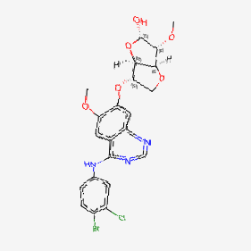 COc1cc2c(Nc3ccc(Br)c(Cl)c3)ncnc2cc1O[C@H]1CO[C@@H]2[C@@H](OC)[C@@H](O)O[C@@H]21